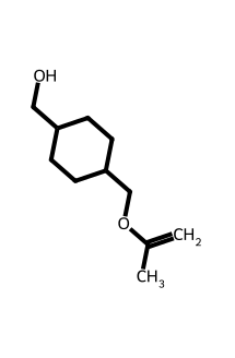 C=C(C)OCC1CCC(CO)CC1